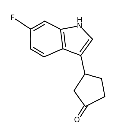 O=C1CCC(c2c[nH]c3cc(F)ccc23)C1